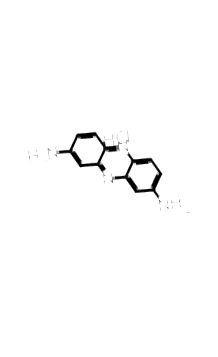 Cl.Nc1ccc2nc3ccc(N)cc3nc2c1